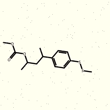 COC(=O)OC(C)CC(C)c1ccc(SSC)cc1